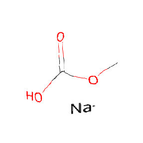 COC(=O)O.[Na]